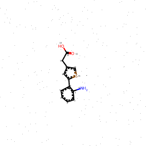 Nc1ccccc1-c1cc(CC(=O)O)cs1